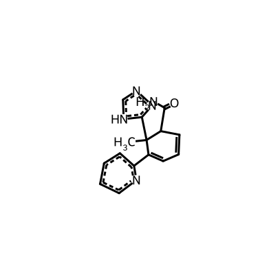 CC1(c2nnc[nH]2)C(c2ccccn2)=CC=CC1C(N)=O